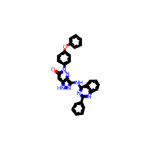 O=c1cc2[nH]nc(Nc3nc(-c4ccccc4)nc4ccccc34)c2nn1-c1ccc(Oc2ccccc2)cc1